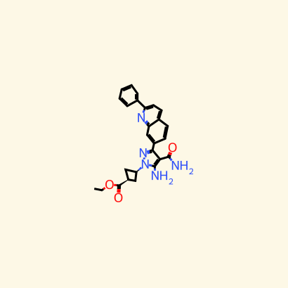 CCOC(=O)[C@H]1C[C@@H](n2nc(-c3ccc4ccc(-c5ccccc5)nc4c3)c(C(N)=O)c2N)C1